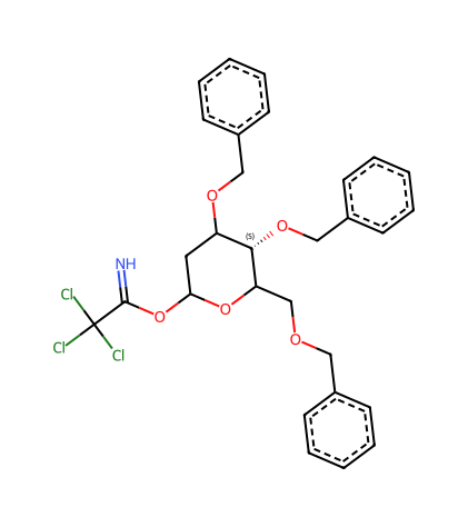 N=C(OC1CC(OCc2ccccc2)[C@H](OCc2ccccc2)C(COCc2ccccc2)O1)C(Cl)(Cl)Cl